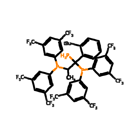 CC(P(c1cc(C(F)(F)F)cc(C(F)(F)F)c1)c1cc(C(F)(F)F)cc(C(F)(F)F)c1)C(P)(c1ccccc1C(C)(C)C)P(c1cc(C(F)(F)F)cc(C(F)(F)F)c1)c1cc(C(F)(F)F)cc(C(F)(F)F)c1